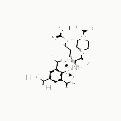 CC(C)c1cc(C(C)C)c(S(=O)(=O)N[C@@H](CCCNC(=N)N)C(=O)N2CCN(C(=O)O)CC2)c(C(C)C)c1